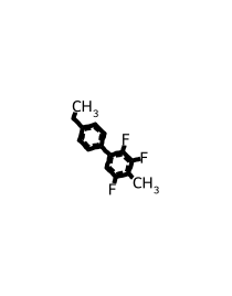 CCc1ccc(-c2cc(F)c(C)c(F)c2F)cc1